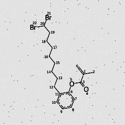 C=C(C)C(=O)Oc1ccccc1CCCCCCCCC(Br)Br